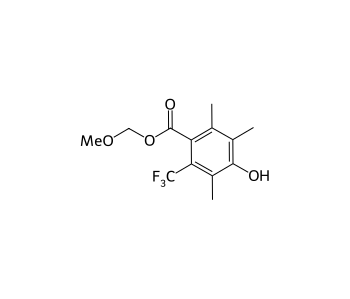 COCOC(=O)c1c(C)c(C)c(O)c(C)c1C(F)(F)F